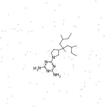 CCC(C)CC(C)(CC(C)CC)C1CCN(c2nc(N)nc(N)n2)C1